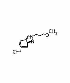 COCCCn1cc2ccc(CCl)cc2n1